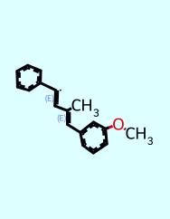 COc1cccc(/C=C(C)/C=[C]/c2ccccc2)c1